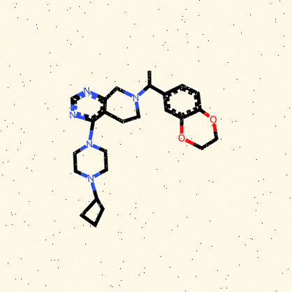 CC(c1ccc2c(c1)OCCO2)N1CCc2c(ncnc2N2CCN(C3CCC3)CC2)C1